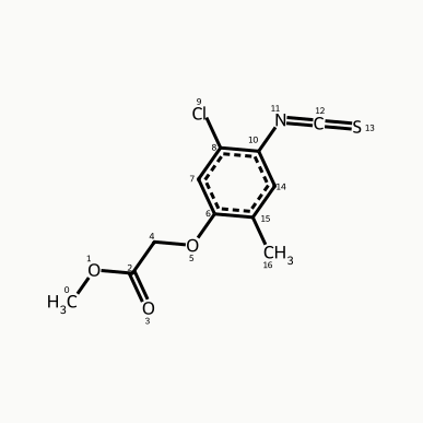 COC(=O)COc1cc(Cl)c(N=C=S)cc1C